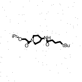 CC(C)OCC(=O)N1CCC(NC(=O)CCCC(C)(C)C)CC1